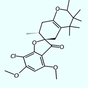 COc1cc(OC)c2c(c1Cl)O[C@@]1(CC3=C(C[C@H]1C)OC(C)C(C)(C)C3(C)C)C2=O